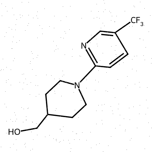 OCC1CCN(c2ccc(C(F)(F)F)cn2)CC1